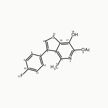 CC(=O)Oc1nc(C)c2c(-c3ccc(F)cc3)csc2c1O